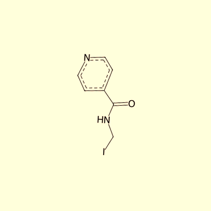 O=C(NCI)c1ccncc1